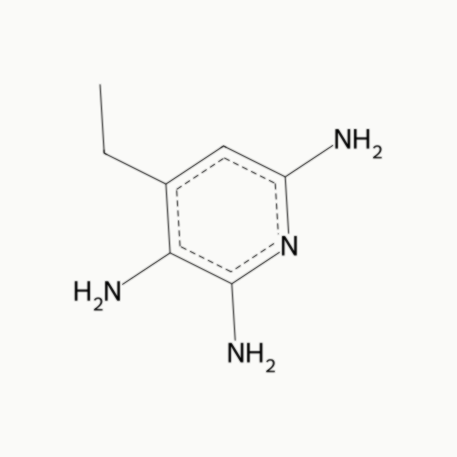 CCc1cc(N)nc(N)c1N